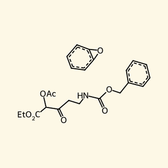 CCOC(=O)C(OC(C)=O)C(=O)CCNC(=O)OCc1ccccc1.c1ccc2c(c1)O2